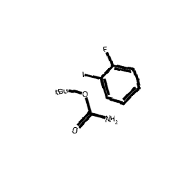 CC(C)(C)OC(N)=O.Fc1ccccc1I